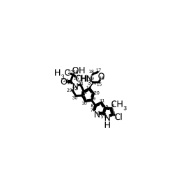 Cc1c(Cl)[nH]c2ncc(-c3cc4c(c([C@@H]5COCCN5)c3)CN(C(=O)C(C)(C)O)CC4)cc12